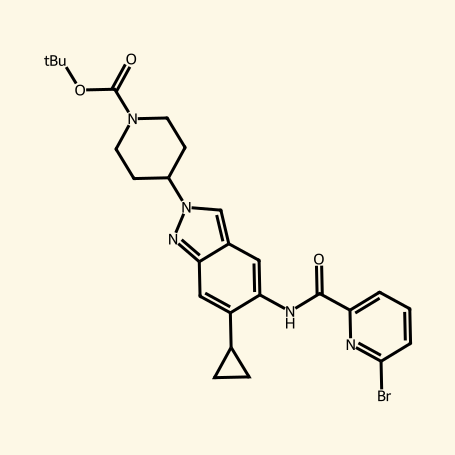 CC(C)(C)OC(=O)N1CCC(n2cc3cc(NC(=O)c4cccc(Br)n4)c(C4CC4)cc3n2)CC1